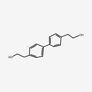 OCCc1ccc(-c2ccc(CCO)cc2)cc1